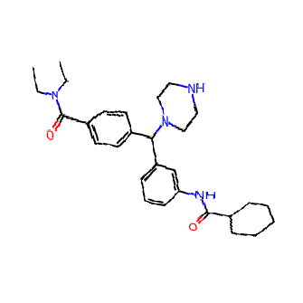 CCN(CC)C(=O)c1ccc(C(c2cccc(NC(=O)C3CCCCC3)c2)N2CCNCC2)cc1